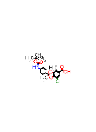 CC1=C(C(=O)O)C=C(Cl)C2O[C@@](C)([C@H]3CC[C@H](NC(=O)OC(C)(C)C)CC3)OC12